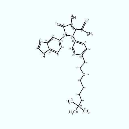 CC(=O)C1=C(O)C(=O)N(c2ccc3[nH]cnc3c2)C1c1ccc(CCOCCCCC(C)(C)C)cc1